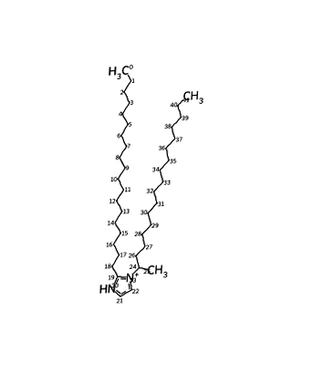 CCCCCCCCCCCCCCCCCCCc1[nH]cc[n+]1C(C)CCCCCCCCCCCCCCCC